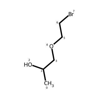 CC(O)COCCBr